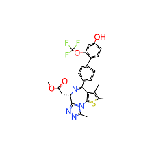 COC(=O)C[C@@H]1N=C(c2ccc(-c3ccc(O)cc3OC(F)(F)F)cc2)c2c(sc(C)c2C)-n2c(C)nnc21